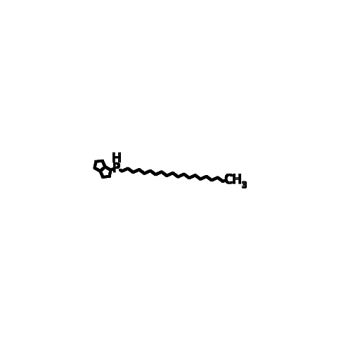 CCCCCCCCCCCCCCCCCCCCPC1CCC2CCCC21